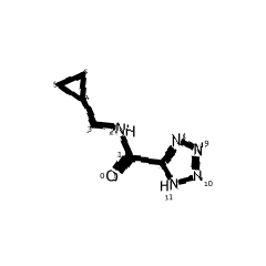 O=C(NCC1CC1)c1nnn[nH]1